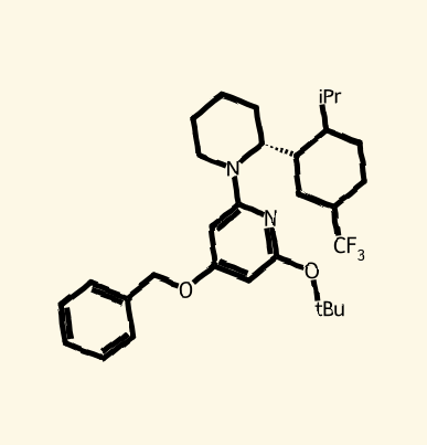 CC(C)C1CCC(C(F)(F)F)CC1[C@H]1CCCCN1c1cc(OCc2ccccc2)cc(OC(C)(C)C)n1